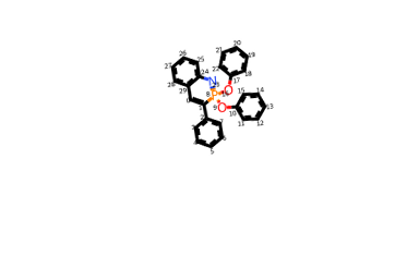 C1=C(c2ccccc2)P(Oc2ccccc2)(Oc2ccccc2)=Nc2ccccc21